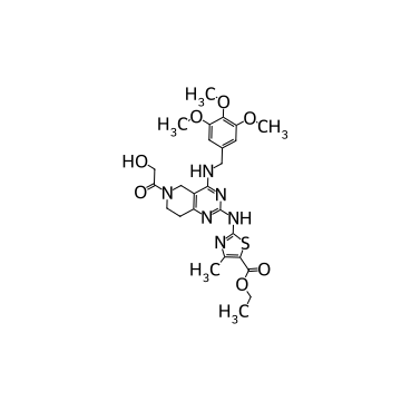 CCOC(=O)c1sc(Nc2nc3c(c(NCc4cc(OC)c(OC)c(OC)c4)n2)CN(C(=O)CO)CC3)nc1C